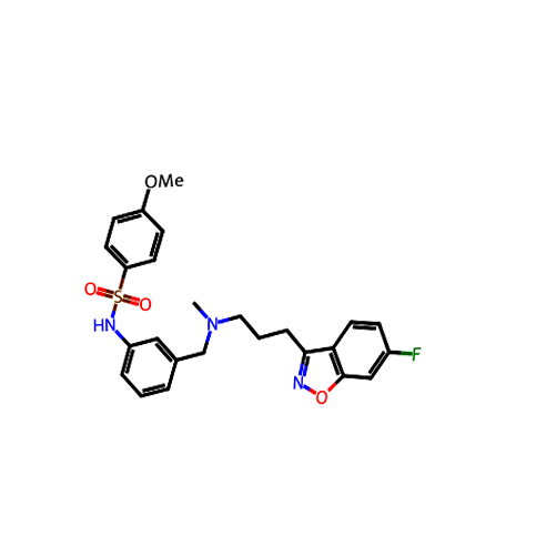 COc1ccc(S(=O)(=O)Nc2cccc(CN(C)CCCc3noc4cc(F)ccc34)c2)cc1